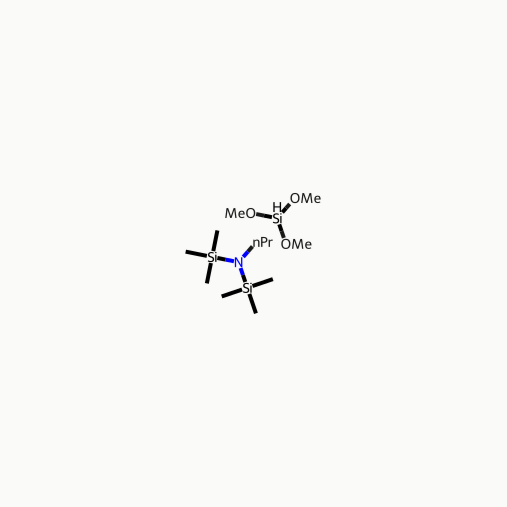 CCCN([Si](C)(C)C)[Si](C)(C)C.CO[SiH](OC)OC